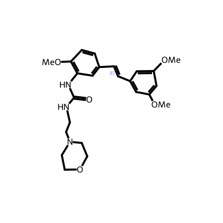 COc1cc(/C=C/c2ccc(OC)c(NC(=O)NCCN3CCOCC3)c2)cc(OC)c1